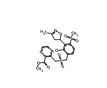 COC(=O)c1nccnc1CS(=O)(=O)Cc1ccc(S(C)(=O)=O)c(C2CC(C)=NO2)c1Cl